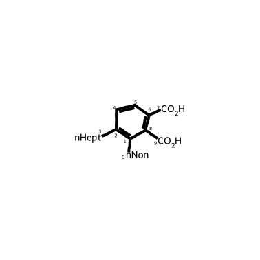 CCCCCCCCCc1c(CCCCCCC)ccc(C(=O)O)c1C(=O)O